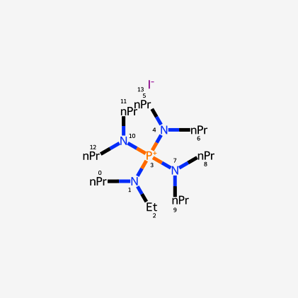 CCCN(CC)[P+](N(CCC)CCC)(N(CCC)CCC)N(CCC)CCC.[I-]